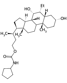 CC[C@H]1[C@@H](O)[C@@H]2C(CC[C@]3(C)[C@@H]([C@H](C)CCOC(=O)NC4CCCC4)CC[C@@H]23)[C@@]2(C)CC[C@@H](O)C[C@@H]12